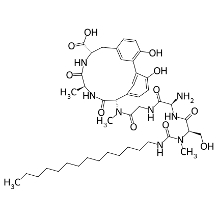 CCCCCCCCCCCCCCNC(=O)N(C)[C@H](CO)C(=O)N[C@H](N)C(=O)NCC(=O)N(C)[C@@H]1C(=O)N[C@@H](C)C(=O)N[C@H](C(=O)O)Cc2ccc(O)c(c2)-c2cc1ccc2O